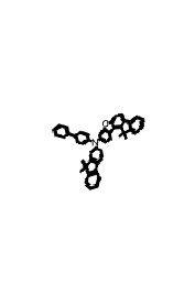 CC1(C)C2=C(C=CCC2)c2ccc(N(c3ccc(-c4ccccc4)cc3)c3ccc4c(c3)oc3ccc5c(c34)C(C)(C)c3ccccc3-5)cc21